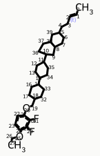 C/C=C/CCC1CCC2CC(C3CCC(C4CCC(COc5ccc(OCC)c(F)c5F)CC4)CC3)CCC2C1